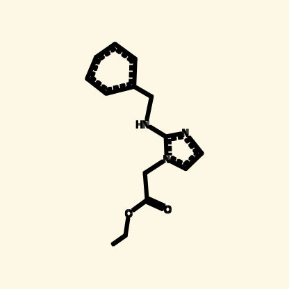 CCOC(=O)Cn1ccnc1NCc1ccccc1